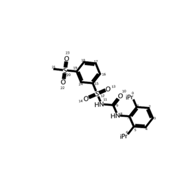 CC(C)c1cccc(C(C)C)c1NC(=O)NS(=O)(=O)c1cccc(S(C)(=O)=O)c1